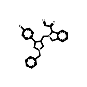 O=CC(=O)C1c2ccccc2CN1CC1CN(Cc2ccccc2)CC1c1ccc(F)cc1